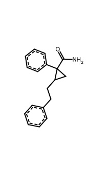 NC(=O)C1(c2ccccc2)CC1CCc1ccccc1